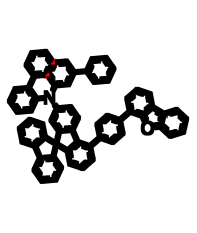 c1ccc(-c2cccc(N(c3ccc4c(c3)C3(c5ccccc5-c5ccccc53)c3cccc(-c5ccc(-c6cccc7c6oc6ccccc67)cc5)c3-4)c3ccccc3-c3ccccc3)c2)cc1